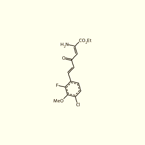 CCOC(=O)C(N)=CC(=O)C=Cc1ccc(Cl)c(OC)c1F